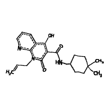 C=CCn1c(=O)c(C(=O)NC2CCC(C)(C)CC2)c(O)c2cccnc21